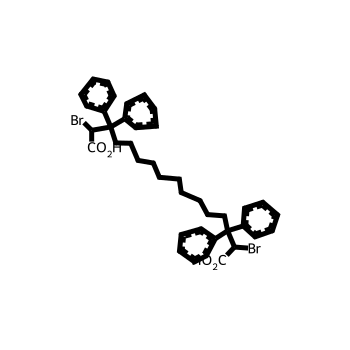 O=C(O)C(Br)C(CCCCCCCCCCC(c1ccccc1)(c1ccccc1)C(Br)C(=O)O)(c1ccccc1)c1ccccc1